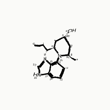 CCC[C@H]1C[C@H](O)C[C@@H](C)N1c1cccc2[nH]cnc12